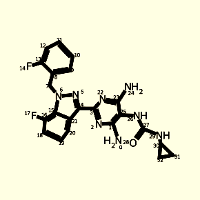 Nc1nc(-c2nn(Cc3ccccc3F)c3c(F)cccc23)nc(N)c1NC(=O)NC1CC1